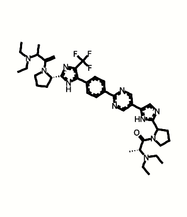 C=C(C(C)N(CC)CC)N1CCC[C@H]1c1nc(C(F)(F)F)c(-c2ccc(-c3ncc(-c4cnc(C5CCCN5C(=O)[C@@H](C)N(CC)CC)[nH]4)cn3)cc2)[nH]1